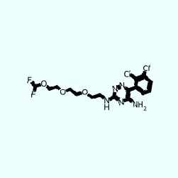 Nc1nc(NCCOCCOCCOC(F)F)nnc1-c1cccc(Cl)c1Cl